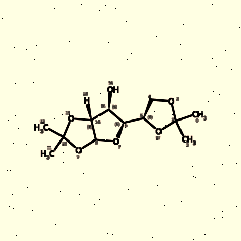 CC1(C)OC[C@H]([C@H]2OC3OC(C)(C)O[C@@H]3[C@H]2O)O1